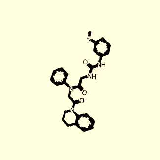 CSc1cccc(NC(=O)NCC(=O)N(CC(=O)N2CCCc3ccccc32)c2ccccc2)c1